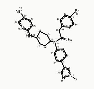 Cn1cc(-c2ccc(N(C(=O)Cc3ccc(Br)cc3)C3CCC(Nc4ccc(C#N)cn4)CC3)cc2)cn1